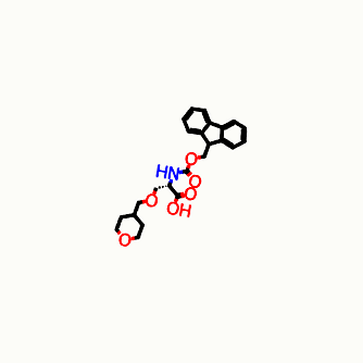 O=C(N[C@@H](COCC1CCOCC1)C(=O)O)OCC1c2ccccc2-c2ccccc21